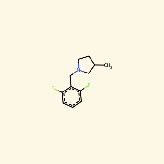 CC1CCN(Cc2c(F)cccc2F)C1